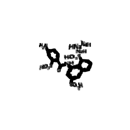 Nc1ccc(C(=O)Nc2cc(S(=O)(=O)O)cc3cccc(S(=O)(=O)O)c23)c(S(=O)(=O)O)c1.[NaH].[NaH].[NaH]